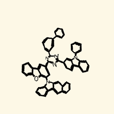 c1ccc(-c2cccc(-c3nc(-c4cc(-n5c6ccccc6c6cc7ccccc7cc65)c5oc6ccccc6c5c4)nc(-c4ccc5c6ccccc6n(-c6ccccc6)c5c4)n3)c2)cc1